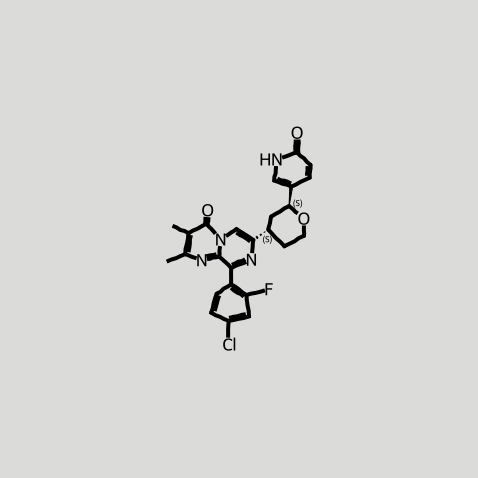 Cc1nc2c(-c3ccc(Cl)cc3F)nc([C@H]3CCO[C@H](c4ccc(=O)[nH]c4)C3)cn2c(=O)c1C